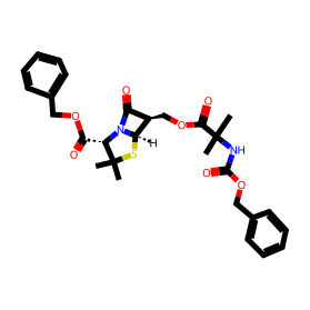 CC(C)(NC(=O)OCc1ccccc1)C(=O)OC[C@@H]1C(=O)N2[C@@H]1SC(C)(C)[C@@H]2C(=O)OCc1ccccc1